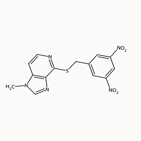 Cn1cnc2c(SCc3cc([N+](=O)[O-])cc([N+](=O)[O-])c3)nccc21